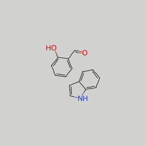 O=Cc1ccccc1O.c1ccc2[nH]ccc2c1